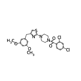 COc1cc(Cc2csc(N3CCN(S(=O)(=O)c4ccc(Cl)cc4Cl)CC3)n2)cc(OC)c1